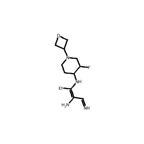 CC/C(NC1CCN(C2COC2)CC1F)=C(\N)C=N